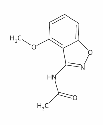 COc1cccc2onc(NC(C)=O)c12